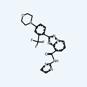 O=C(Nc1nccs1)c1cccn2nc(-c3ccc(N4CCOCC4)cc3C(F)(F)F)nc12